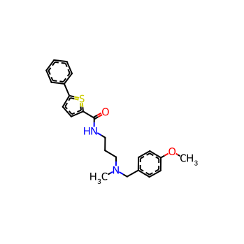 COc1ccc(CN(C)CCCNC(=O)c2ccc(-c3ccccc3)s2)cc1